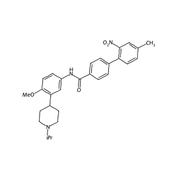 COc1ccc(NC(=O)c2ccc(-c3ccc(C)cc3[N+](=O)[O-])cc2)cc1C1CCN(C(C)C)CC1